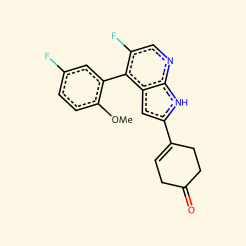 COc1ccc(F)cc1-c1c(F)cnc2[nH]c(C3=CCC(=O)CC3)cc12